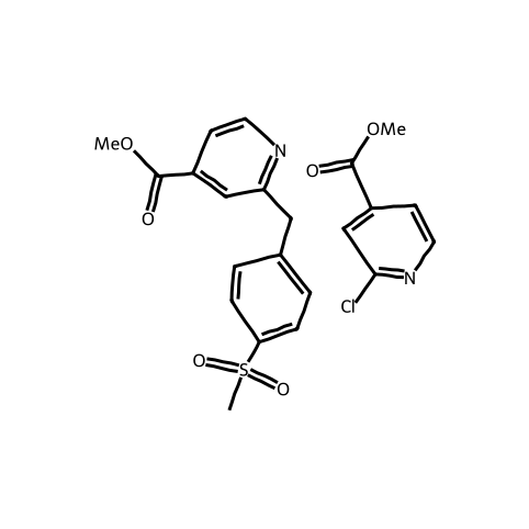 COC(=O)c1ccnc(Cc2ccc(S(C)(=O)=O)cc2)c1.COC(=O)c1ccnc(Cl)c1